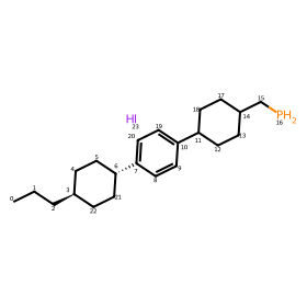 CCC[C@H]1CC[C@H](c2ccc(C3CCC(CP)CC3)cc2)CC1.I